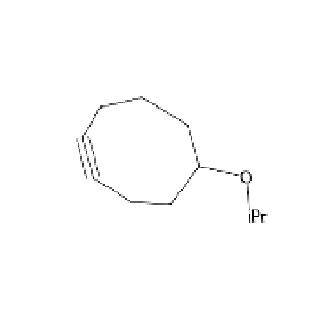 CC(C)OC1CCC#CCCC1